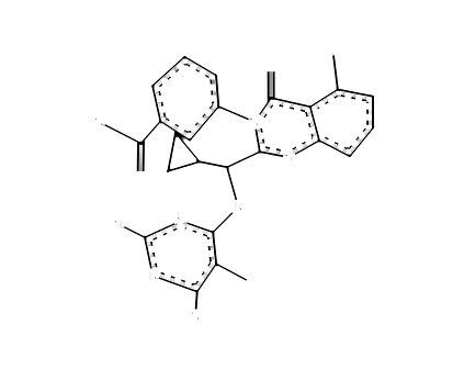 NC(=O)c1cccc(-n2c(C(Nc3nc(N)nc(N)c3Cl)C3CC3)nc3cccc(Cl)c3c2=O)c1